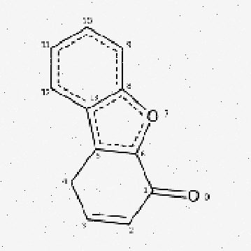 O=C1C=CCc2c1oc1ccccc21